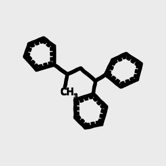 CC(CC(c1ccccc1)c1ccccc1)c1ccccc1